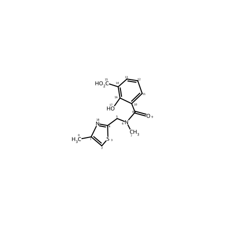 Cc1csc(CN(C)C(=O)c2cccc(C(=O)O)c2O)n1